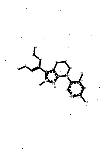 CC/C=C(\CCC)c1c2c(nn1C)N(c1cnc(C)cc1C)CCC2